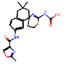 Cc1nc(C(=O)Nc2ccc3c(c2)C2(CCSC(NC(=O)O)=N2)CC(C)(C)C3)co1